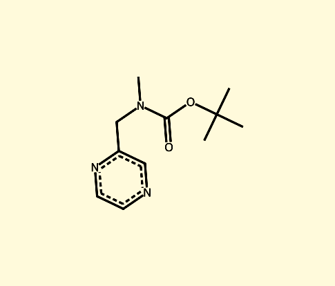 CN(Cc1cnccn1)C(=O)OC(C)(C)C